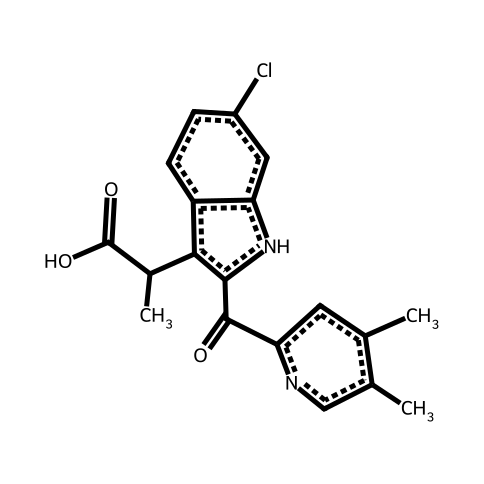 Cc1cnc(C(=O)c2[nH]c3cc(Cl)ccc3c2C(C)C(=O)O)cc1C